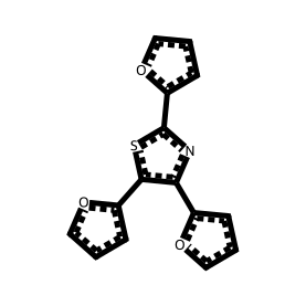 c1coc(-c2nc(-c3ccco3)c(-c3ccco3)s2)c1